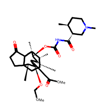 COCO[C@H]1[C@H](C)C23CCC(=O)C2[C@@](C)([C@H](C)CC3)[C@H](OC(=O)NC(=O)[C@H]2CN(C)CC[C@@H]2C)C[C@@]1(C)C(=O)OC